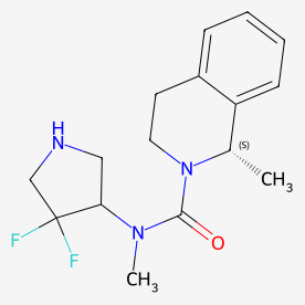 C[C@H]1c2ccccc2CCN1C(=O)N(C)C1CNCC1(F)F